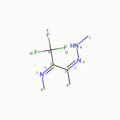 C/N=C(\C(C)=N/NC)C(F)(F)F